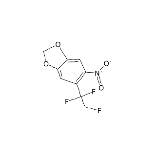 O=[N+]([O-])c1cc2c(cc1C(F)(F)CF)OCO2